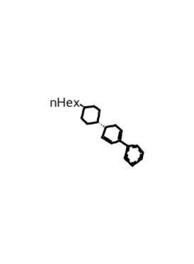 CCCCCC[C@H]1CC[C@H](C2C=CC(c3ccccc3)=CC2)CC1